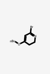 CCCCOC1=CC(Br)=NCC1